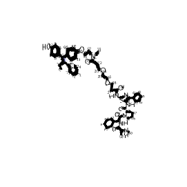 CC/C(=C(\c1ccc(O)cc1)c1ccc(OCCN(C)C(=O)CCOCCOCCC(=O)Nc2nc(-c3ccccc3)c(NC(=O)[C@@H]3CCCN3C(=O)[C@@H](NC(=O)C(C)NC)C3CCCCC3)s2)cc1)c1ccccc1